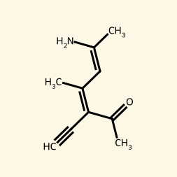 C#C/C(C(C)=O)=C(C)/C=C(/C)N